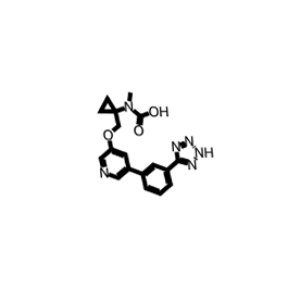 CN(C(=O)O)C1(COc2cncc(-c3cccc(-c4nn[nH]n4)c3)c2)CC1